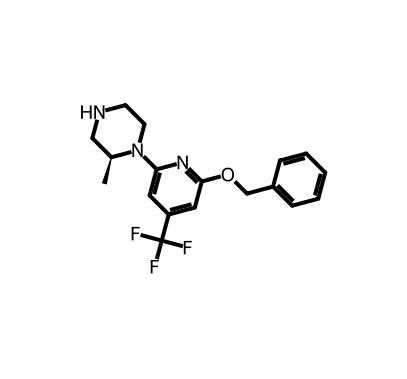 C[C@H]1CNCCN1c1cc(C(F)(F)F)cc(OCc2ccccc2)n1